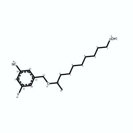 CCCCCCCCCCCCCCCCCCC(C)OCc1cc(F)cc(C#N)c1